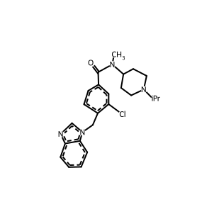 CC(C)N1CCC(N(C)C(=O)c2ccc(Cn3cnc4ccccc43)c(Cl)c2)CC1